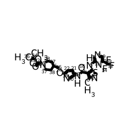 Cc1nsc(Nc2cncc(C(F)(F)F)n2)c1C(=O)Nc1ccc(OCC2CCN(C(=O)OC(C)(C)C)CC2)nc1